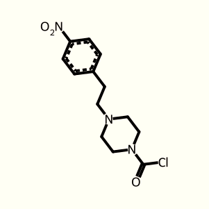 O=C(Cl)N1CCN(CCc2ccc([N+](=O)[O-])cc2)CC1